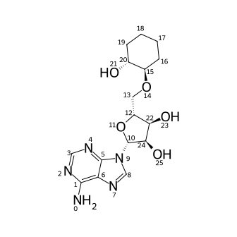 Nc1ncnc2c1ncn2[C@@H]1O[C@H](CO[C@@H]2CCCC[C@H]2O)[C@@H](O)[C@H]1O